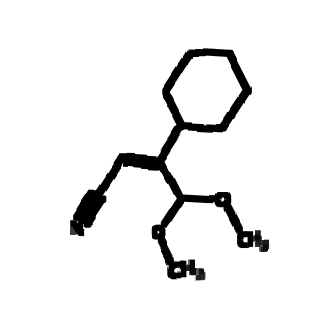 COC(OC)C(=CC#N)C1CCCCC1